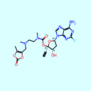 C#C[C@]1(OC(=O)N(C)CCN(C)Cc2oc(=O)oc2C)O[C@@H](n2cnc3c(N)nc(F)nc32)C[C@@H]1O